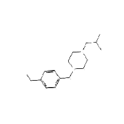 CC(C)CN1CCN(Cc2ccc(CO)cc2)CC1